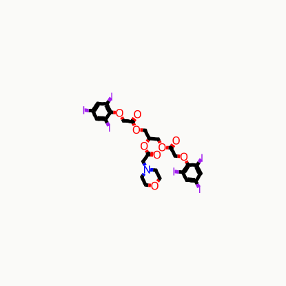 O=C(COc1c(I)cc(I)cc1I)OCC(COC(=O)COc1c(I)cc(I)cc1I)OC(=O)CN1CCOCC1